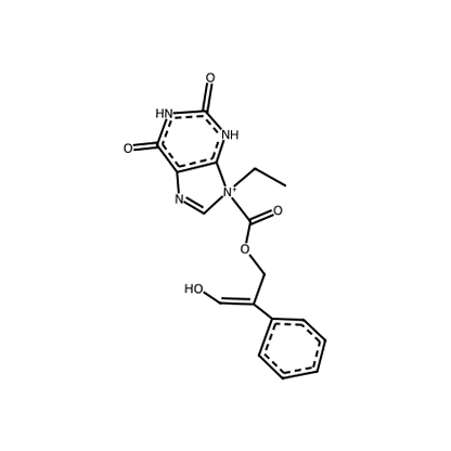 CC[N+]1(C(=O)OCC(=CO)c2ccccc2)C=Nc2c1[nH]c(=O)[nH]c2=O